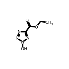 CCOC(=O)c1nnn(O)n1